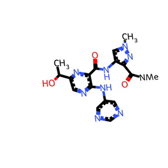 CNC(=O)c1nn(C)cc1NC(=O)c1nc(C(C)O)cnc1Nc1cncnc1